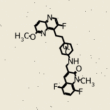 COc1ccc2ncc(F)c(CCC34CCC(NCc5cc6c(F)ccc(F)c6n(C)c5=O)(CC3)CO4)c2n1